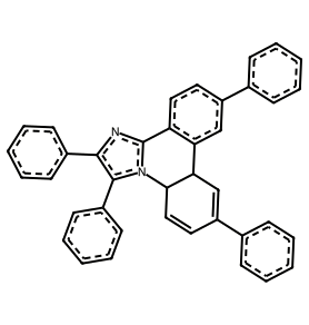 C1=CC2C(C=C1c1ccccc1)c1cc(-c3ccccc3)ccc1-c1nc(-c3ccccc3)c(-c3ccccc3)n12